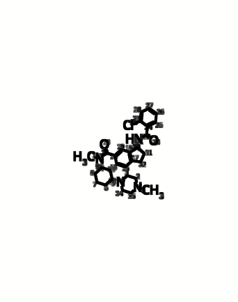 CN1CCN([C@@H]2CCC[C@H](N(C)C(=O)c3ccc4c(c3)[C@H](NC(=O)c3ccccc3Cl)CC4)C2)CC1